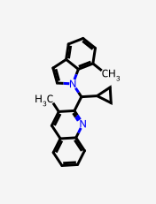 Cc1cc2ccccc2nc1C(C1CC1)n1ccc2cccc(C)c21